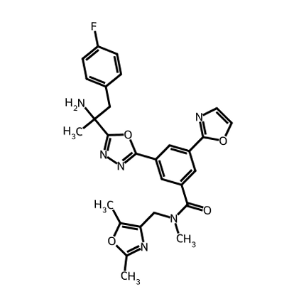 Cc1nc(CN(C)C(=O)c2cc(-c3ncco3)cc(-c3nnc(C(C)(N)Cc4ccc(F)cc4)o3)c2)c(C)o1